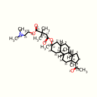 CC(=O)[C@H]1CC[C@H]2[C@@H]3CC[C@H]4C[C@](C)(OC(=O)CC(C)(C)C(=O)OCCN(C)C)CC[C@]4(C)[C@H]3CC[C@]12C